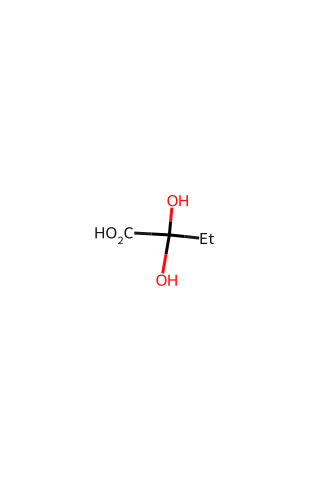 CCC(O)(O)C(=O)O